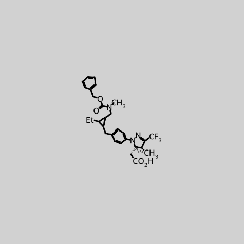 CCC1C(Cc2ccc(N3N=C(C(F)(F)F)[C@@H](C)[C@@H]3CC(=O)O)cc2)C1CN(C)C(=O)OCc1ccccc1